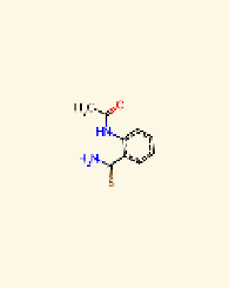 CC(=O)Nc1ccccc1C(N)=S